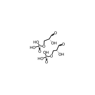 O=C[C@H](O)COP(=O)(O)O.O=C[C@H](O)COP(=O)(O)O